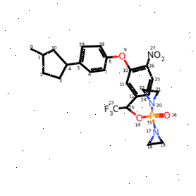 CC1CCC(c2ccc(Oc3cc(C(OP(=O)(N4CC4)N4CC4)C(F)(F)F)ccc3[N+](=O)[O-])cc2)C1